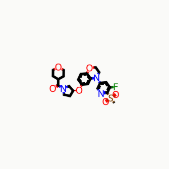 CS(=O)(=O)c1ncc(N2CCOc3ccc(O[C@H]4CCN(C(=O)C5CCOCC5)C4)cc32)cc1F